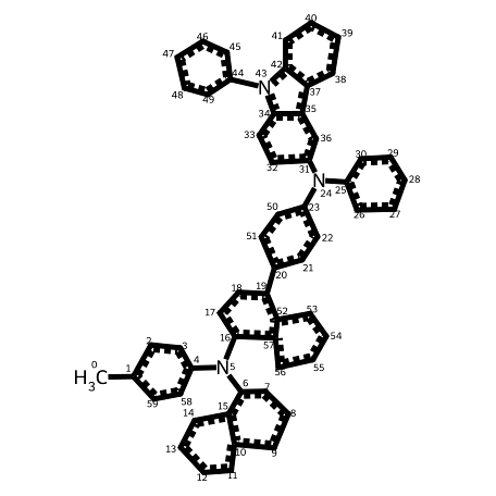 Cc1ccc(N(c2cccc3ccccc23)c2ccc(-c3ccc(N(c4ccccc4)c4ccc5c(c4)c4ccccc4n5-c4ccccc4)cc3)c3ccccc23)cc1